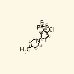 CC1CCN(c2ccc(Cl)c(C(F)(F)F)n2)CC1